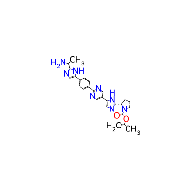 C=C(C)OC(=O)N1CCC[C@H]1c1ncc(-c2cnc(-c3ccc(-c4cnc([C@H](C)N)[nH]4)cc3)nc2)[nH]1